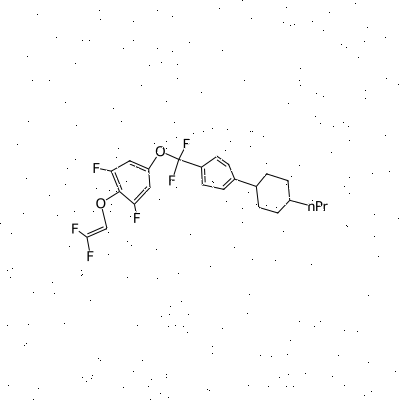 CCCC1CCC(c2ccc(C(F)(F)Oc3cc(F)c(OC=C(F)F)c(F)c3)cc2)CC1